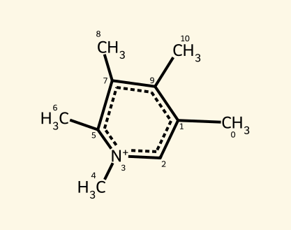 Cc1c[n+](C)c(C)c(C)c1C